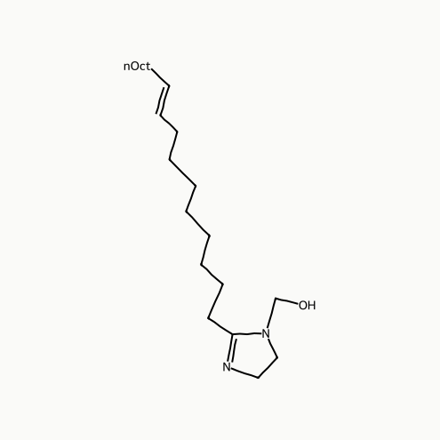 CCCCCCCCC=CCCCCCCCCC1=NCCN1CO